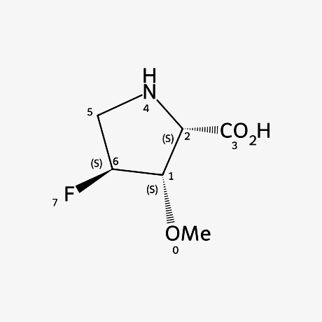 CO[C@H]1[C@@H](C(=O)O)NC[C@@H]1F